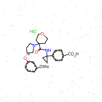 COc1cccc(O[C@@H]2CCN(C3(C(=O)NC4(c5ccc(C(=O)O)cc5)CC4)CCOCC3)C2)c1.Cl